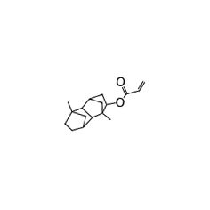 C=CC(=O)OC1CC2CC1(C)C1C3CCC(C)(C3)C21